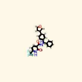 O=C(NC(c1ccccc1)c1ccc(C2CCOC2)cc1)c1ccc(C(F)(F)F)[nH]c1=O